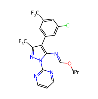 CC(C)O/C=N/c1c(-c2cc(Cl)cc(C(F)(F)F)c2)c(C(F)(F)F)nn1-c1ncccn1